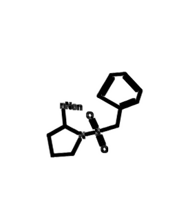 CCCCCCCCCC1CCCN1S(=O)(=O)Cc1ccccc1